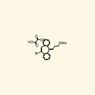 CNCC/C=C1\c2ccccc2C=C(Br)c2ccccc21.O=C(O)C(=O)O